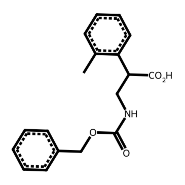 Cc1ccccc1C(CNC(=O)OCc1ccccc1)C(=O)O